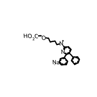 CN(CCCCOCC(=O)O)c1ccc(-c2ccccc2)c(-c2ccccc2)n1.[Na]